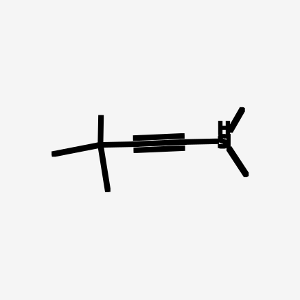 C[SiH](C)C#CC(C)(C)C